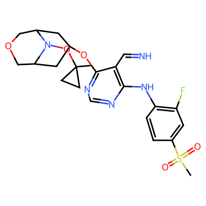 CC1(ON2C3COCC2CC(Oc2ncnc(Nc4ccc(S(C)(=O)=O)cc4F)c2C=N)C3)CC1